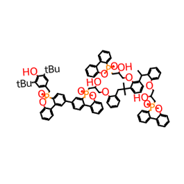 CC(c1ccccc1OCC(O)CP1(=O)Oc2ccccc2-c2ccccc21)c1cccc(C(C)(C)Cc2ccccc2OCC(O)CP2(=O)Oc3ccccc3-c3ccc(-c4ccc5c(c4)-c4ccccc4OP5(=O)Cc4cc(C(C)(C)C)c(O)c(C(C)(C)C)c4)cc32)c1OCC(O)CP1(=O)Oc2ccccc2-c2ccccc21